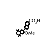 COc1cc2c(cc1-c1ccc3cc(C(=O)O)ccc3c1)C(C)(C)CCC2(C)C